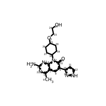 Cc1nc(N)nc2c1cc(-c1cc[nH]n1)c(=O)n2C1CCC(OCCO)CC1